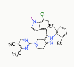 CCc1cccc(CC)c1-n1nc2c(c1-c1ccc(Cl)c3c1ccn3I)CN(c1ncc(C#N)c(C)n1)CC2